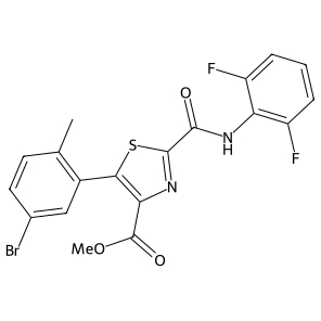 COC(=O)c1nc(C(=O)Nc2c(F)cccc2F)sc1-c1cc(Br)ccc1C